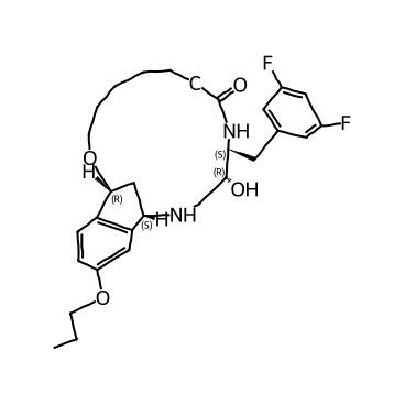 CCCOc1ccc2c(c1)[C@@H]1C[C@H]2OCCCCCCC(=O)N[C@@H](Cc2cc(F)cc(F)c2)[C@H](O)CN1